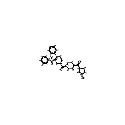 O=C(C1CCN(C(=O)[C@@H]2CC[C@H](c3ccccc3)N(S(=O)(=O)c3ccccc3)C2)CC1)N1CCC(O)C1